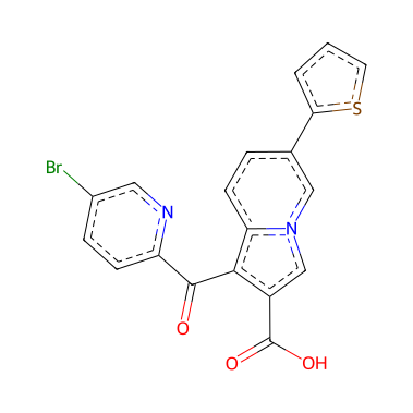 O=C(O)c1cn2cc(-c3cccs3)ccc2c1C(=O)c1ccc(Br)cn1